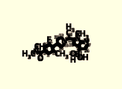 Cc1cc(C(=O)N(C)C)cc(F)c1C1=CCN([C@@H](C)c2cc3c(B(O)O)ccnc3n2C)CC1